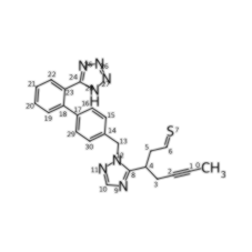 CC#CCC(CC=S)c1ncnn1Cc1ccc(-c2ccccc2-c2nnn[nH]2)cc1